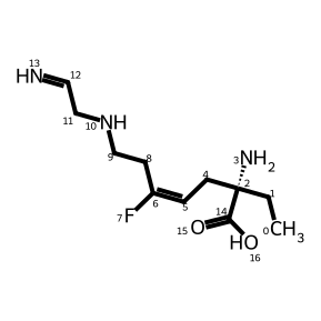 CC[C@](N)(C/C=C(/F)CCNCC=N)C(=O)O